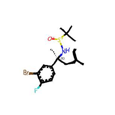 C=C(C)C[C@](C)(N[S+]([O-])C(C)(C)C)c1ccc(F)c(Br)c1